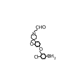 Bc1ccc(Cl)c(COc2ccc3c(c2)OCC32CCN(CCC=O)CC2)c1